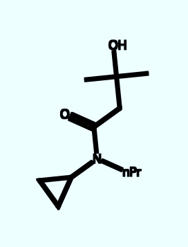 CCCN(C(=O)CC(C)(C)O)C1CC1